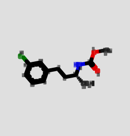 CC(C)(C)OC(=O)N[C@@H](CCc1cccc(Cl)c1)C(=O)O